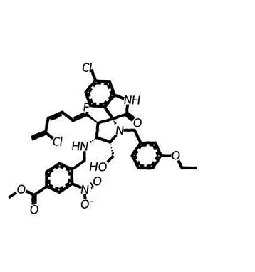 C=C(Cl)/C=C\C=C(/F)[C@@H]1[C@@H](NCc2ccc(C(=O)OC)cc2[N+](=O)[O-])[C@@H](CO)N(Cc2cccc(OCC)c2)[C@]12C(=O)Nc1cc(Cl)ccc12